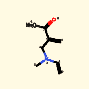 C=CN(C)CC(=C)C(=O)OC